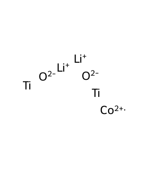 [Co+2].[Li+].[Li+].[O-2].[O-2].[Ti].[Ti]